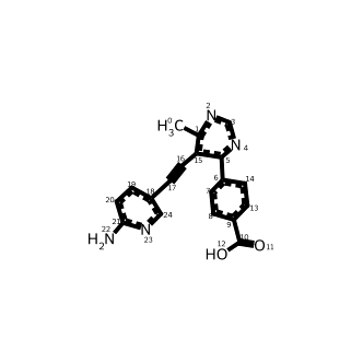 Cc1ncnc(-c2ccc(C(=O)O)cc2)c1C#Cc1ccc(N)nc1